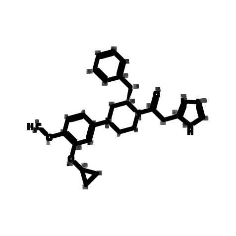 COc1ccc(N2CCN(C(=O)Cc3nnc[nH]3)[C@@H](Cc3ccccc3)C2)cc1OC1CC1